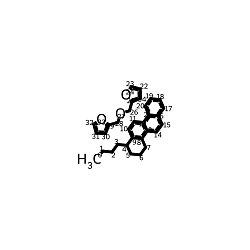 CCCCC1CCCc2c1ccc1c2ccc2ccccc21.c1coc(COCc2ccco2)c1